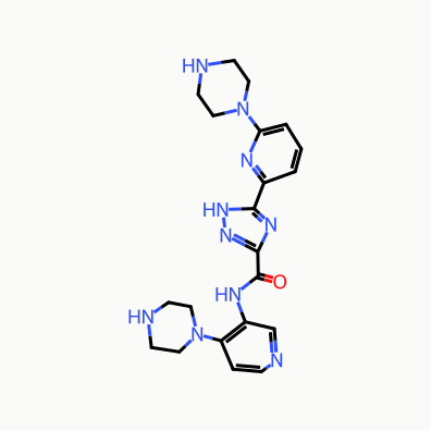 O=C(Nc1cnccc1N1CCNCC1)c1n[nH]c(-c2cccc(N3CCNCC3)n2)n1